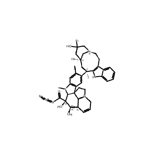 CCC1(O)C[C@H]2C[N@](CCc3c([nH]c4ccccc34)[C@@](C)(c3cc4c(cc3C)N(C)C3C45CCN4CC=C[C@](CC)(C45)[C@@H](O)[C@]3(O)C(=O)N=[N+]=[N-])C2)C1